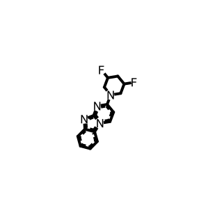 FC1CC(F)CN(c2ccn3c(n2)nc2ccccc23)C1